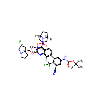 CC(C)(C)OC(=O)Nc1cc(C#N)c(C(F)(F)F)c(-c2ccc3c(N4C[C@H]5CC[C@@H](C4)N5C(=O)OC(C)(C)C)nc(OC[C@@]45CCCN4C[C@H](F)C5)nc3c2F)c1